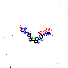 COc1cc(-c2nccc(-c3cccc4c3CCC[C@H]4Nc3nc(OC)c(CNC4(C(=O)O)CC4)cc3C(F)(F)F)c2Cl)ccc1CNCC1CCC(=O)N1